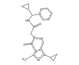 Cc1nn(C2CC2)c2cnn(CC(=O)NC(c3ccccc3)C3CC3)c(=O)c12